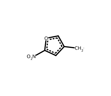 [CH2]c1coc([N+](=O)[O-])c1